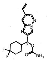 C=Cc1cnn2cc([C@@H](OC(N)=O)C3CCC(F)(F)CC3)nc2c1